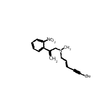 C=C(CN(C)CC=CC#CC(C)(C)C)c1ccccc1[N+](=O)[O-]